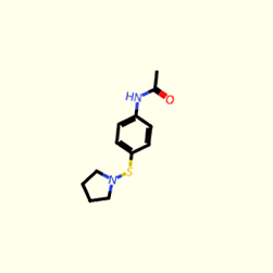 CC(=O)Nc1ccc(SN2CCCC2)cc1